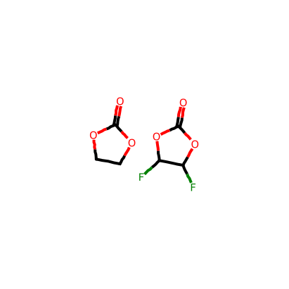 O=C1OC(F)C(F)O1.O=C1OCCO1